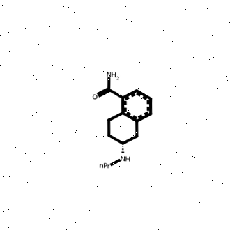 CCCN[C@@H]1CCc2c(C(N)=O)[c]ccc2C1